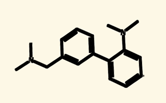 CN(C)Cc1cccc(-c2cc[c]cc2N(C)C)c1